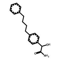 NC(=O)C(O)c1ccc(CCCCc2ccccc2)cc1